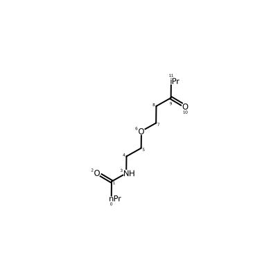 CCCC(=O)NCCOCCC(=O)C(C)C